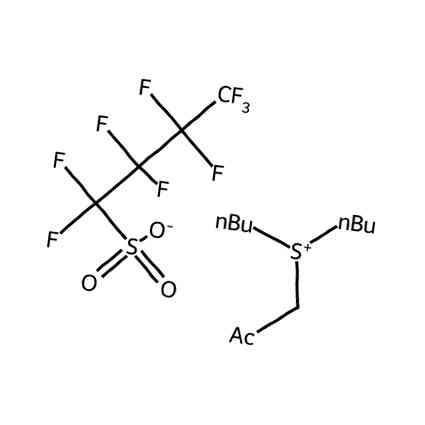 CCCC[S+](CCCC)CC(C)=O.O=S(=O)([O-])C(F)(F)C(F)(F)C(F)(F)C(F)(F)F